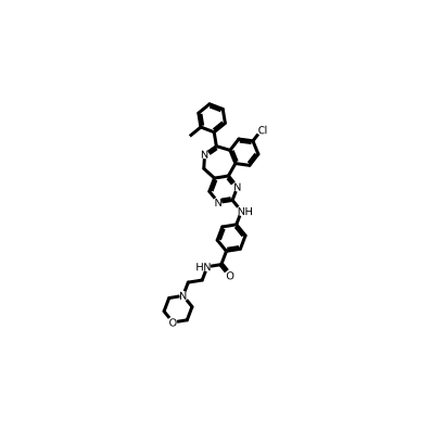 Cc1ccccc1C1=NCc2cnc(Nc3ccc(C(=O)NCCN4CCOCC4)cc3)nc2-c2ccc(Cl)cc21